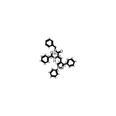 O=C(NCc1ccccc1)/C(=C/c1cn(-c2ccccc2)nc1-c1ccccc1)NC(=O)c1ccccc1